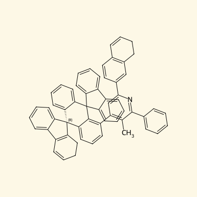 Cc1c(-c2cccc3c2C2(c4ccccc4-c4ccccc42)c2ccccc2[C@@]32C3=C(C=CCC3)c3ccccc32)cc(-c2ccc3c(c2)CCC=C3)nc1-c1ccccc1